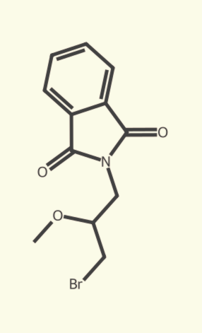 COC(CBr)CN1C(=O)c2ccccc2C1=O